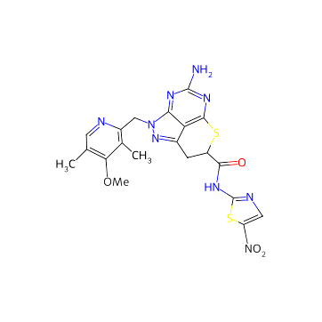 COc1c(C)cnc(Cn2nc3c4c(nc(N)nc42)SC(C(=O)Nc2ncc([N+](=O)[O-])s2)C3)c1C